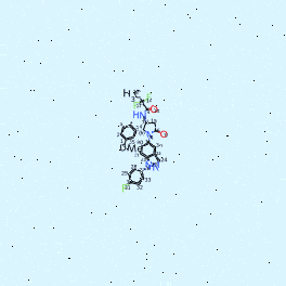 COc1cccc([C@@H]2[C@@H](NC(=O)C(C)(F)F)CC(=O)N2c2ccc3c(cnn3-c3ccc(F)cc3)c2)c1